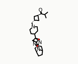 CC(C)C(=O)[C@H]1C[C@H](CN2CCC(c3cnc(N4C5CCC4CN(C(C)C)C5)nc3)CC2)C1